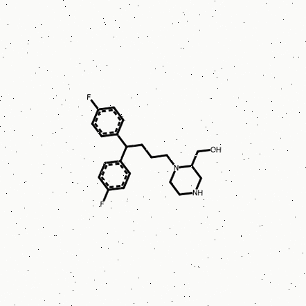 OCC1CNCCN1CCCC(c1ccc(F)cc1)c1ccc(F)cc1